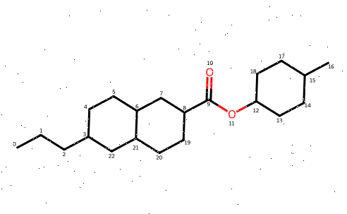 CCCC1CCC2CC(C(=O)OC3CCC(C)CC3)CCC2C1